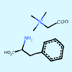 C[N+](C)(C)CC(=O)[O-].N[C@@H](Cc1ccccc1)C(=O)O